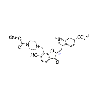 CC(C)(C)OC(=O)N1CCN(Cc2c(O)ccc3c2O/C(=C\c2c[nH]c4cc(C(=O)O)ccc24)C3=O)CC1